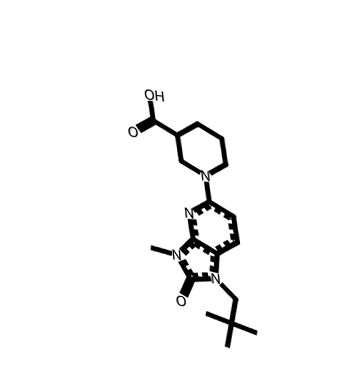 Cn1c(=O)n(CC(C)(C)C)c2ccc(N3CCCC(C(=O)O)C3)nc21